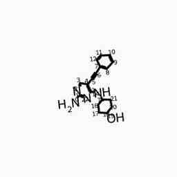 Nc1ncc(C#Cc2ccccc2)c(NC2CCC(O)CC2)n1